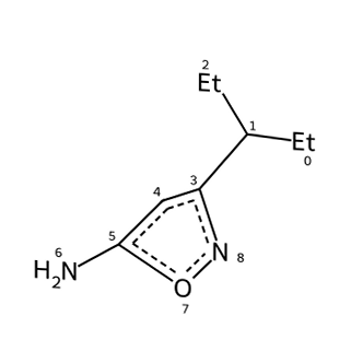 CCC(CC)c1cc(N)on1